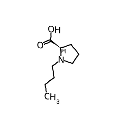 CCCCN1CCC[C@@H]1C(=O)O